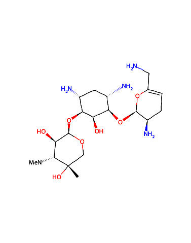 CN[C@@H]1[C@@H](O)[C@@H](O[C@@H]2[C@H](O)[C@H](O[C@H]3OC(CN)=CC[C@H]3N)[C@@H](N)C[C@H]2N)OC[C@]1(C)O